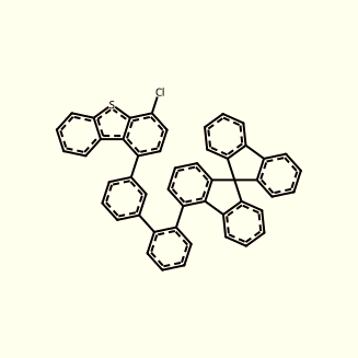 Clc1ccc(-c2cccc(-c3ccccc3-c3cccc4c3-c3ccccc3C43c4ccccc4-c4ccccc43)c2)c2c1sc1ccccc12